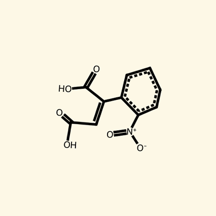 O=C(O)C=C(C(=O)O)c1ccccc1[N+](=O)[O-]